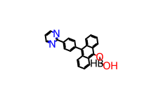 OBOc1c2ccccc2c(-c2ccc(-c3ncccn3)cc2)c2ccccc12